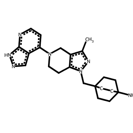 Cc1nn(CC23CCC(N)(CC2)CC3)c2c1CN(c1ccnc3[nH]ncc13)CC2